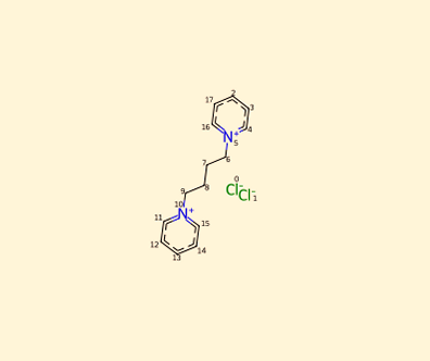 [Cl-].[Cl-].c1cc[n+](CCCC[n+]2ccccc2)cc1